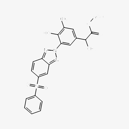 CCCCCCCCOC(=O)C(C)c1cc(-n2nc3ccc(S(=O)(=O)c4ccccc4)cc3n2)c(O)c(C(C)(C)C)c1